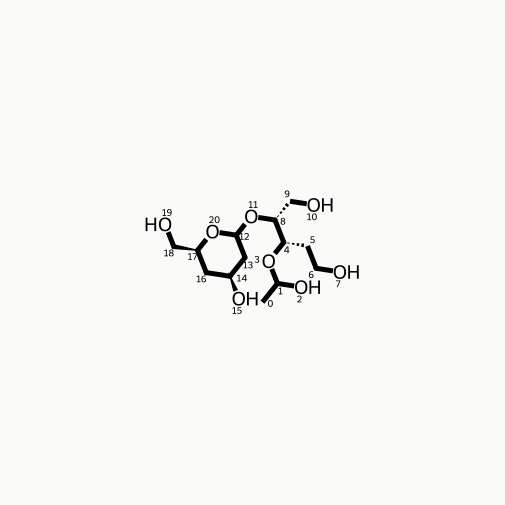 CC(O)O[C@@H](CCO)[C@@H](CO)OC1C[C@@H](O)C[C@@H](CO)O1